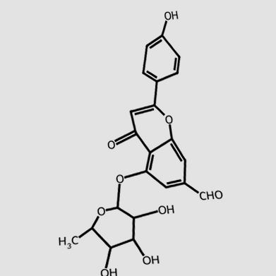 CC1OC(Oc2cc(C=O)cc3oc(-c4ccc(O)cc4)cc(=O)c23)C(O)C(O)C1O